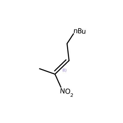 CCCCC/C=C(\C)[N+](=O)[O-]